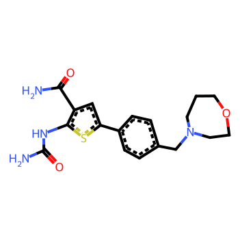 NC(=O)Nc1sc(-c2ccc(CN3CCCOCC3)cc2)cc1C(N)=O